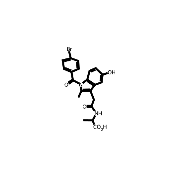 Cc1c(CC(=O)NC(C)C(=O)O)c2cc(O)ccc2n1C(=O)c1ccc(Br)cc1